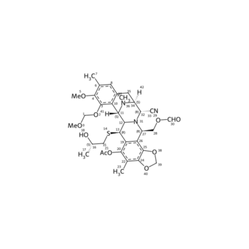 COCOc1c(OC)c(C)cc2c1[C@H]1C3[C@H](SC[C@H](C)O)c4c(OC(C)=O)c(C)c5c(c4[C@H](COC=O)N3[C@@H](C#N)[C@H](C2)N1C)OCO5